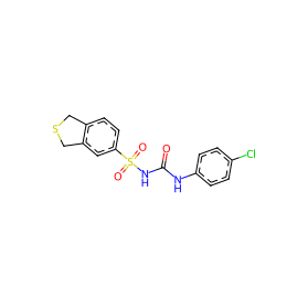 O=C(Nc1ccc(Cl)cc1)NS(=O)(=O)c1ccc2c(c1)CSC2